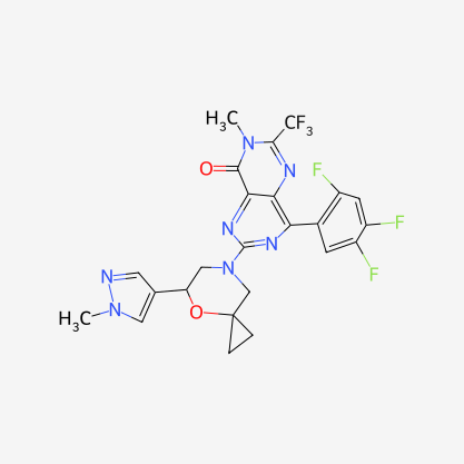 Cn1cc(C2CN(c3nc(-c4cc(F)c(F)cc4F)c4nc(C(F)(F)F)n(C)c(=O)c4n3)CC3(CC3)O2)cn1